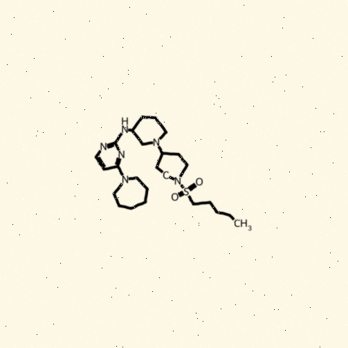 CCCCCS(=O)(=O)N1CCC(N2CCCC(Nc3nccc(N4CCCCCC4)n3)C2)CC1